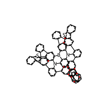 CC1(C)c2ccccc2-c2cc3c(cc21)N(c1c(-c2ccc4sc5ccccc5c4c2)cccc1-c1ccc2sc4ccccc4c2c1)c1cc(C24CC5CC(CC(C5)C2)C4)cc2c1B3c1cc3c(cc1N2c1c(-c2ccc4sc5ccccc5c4c2)cccc1-c1ccc2sc4ccccc4c2c1)C(C)(C)c1ccccc1-3